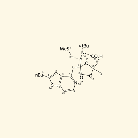 CCCCc1cc2c(C[C@]3([C@H](CSC)N(C(=O)O)C(C)(C)C)OC(C)(C)OC3=O)nccc2s1